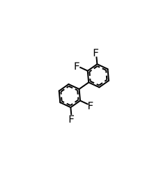 Fc1cccc(-c2cccc(F)c2F)c1F